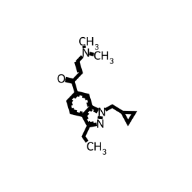 CCc1nn(CC2CC2)c2cc(C(=O)C=CN(C)C)ccc12